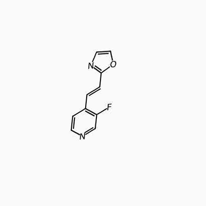 Fc1cnccc1C=Cc1ncco1